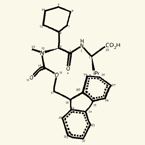 CC(C)[C@@H](NC(=O)[C@H](C1CCCCC1)N(C)C(=O)OCC1c2ccccc2-c2ccccc21)C(=O)O